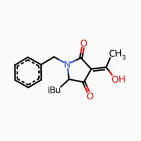 CCC(C)C1C(=O)C(=C(C)O)C(=O)N1Cc1ccccc1